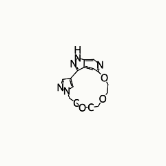 c1nn2cc1-c1n[nH]c3cnc(cc13)OCCOCCOCC2